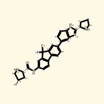 O=C(Nc1ccc2c(c1)C(F)(F)c1cc(-c3ccc4[nH]c([C@@H]5CCCN5)nc4c3)ccc1-2)[C@@H]1C[C@H](F)CN1